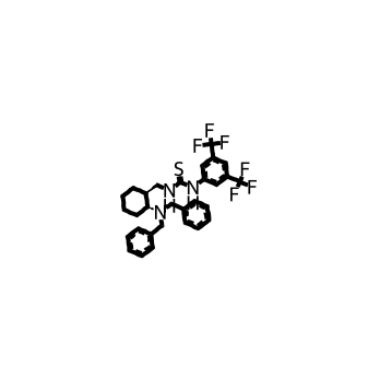 FC(F)(F)c1cc(NC(=S)NC[C@@H]2CCCC[C@H]2N(Cc2ccccc2)Cc2ccccc2)cc(C(F)(F)F)c1